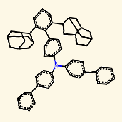 c1ccc(-c2ccc(N(c3ccc(-c4ccccc4)cc3)c3ccc(-c4c(C5CC6CCC7CC6CC5C7)cccc4C4C5CC6CC(C5)CC4C6)cc3)cc2)cc1